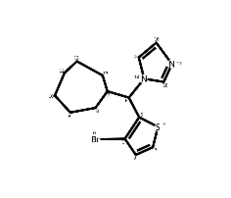 Brc1ccsc1C(C1CCCCCC1)n1ccnc1